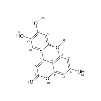 COc1ccc(-c2cc(=O)oc3cc(O)cc(OC)c23)cc1O